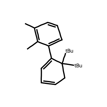 Cc1cccc(C2=CC=CCC2(C(C)(C)C)C(C)(C)C)c1C